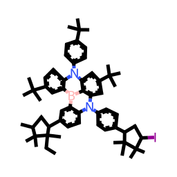 CCC1(C)C(c2ccc3c(c2)B2c4cc(C(C)(C)C)ccc4N(c4ccc(C(C)(C)C)cc4)c4cc(C(C)(C)C)cc(c42)N3c2ccc(C3CC(I)C(C)(C)C3(C)C)cc2)CC(C)C1(C)C